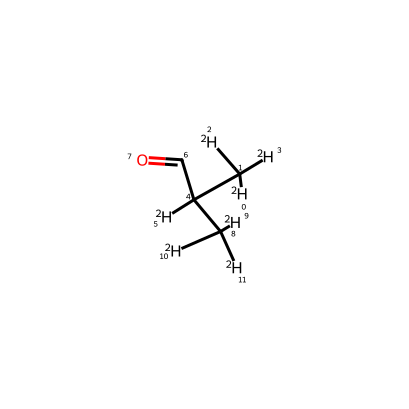 [2H]C([2H])([2H])C([2H])(C=O)C([2H])([2H])[2H]